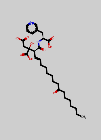 CCCCCCCC(=O)CCCCCC/C=C/[C@H](C(=O)N[C@@H](Cc1cccnc1)C(=O)O)[C@@](O)(CC(=O)O)C(=O)O